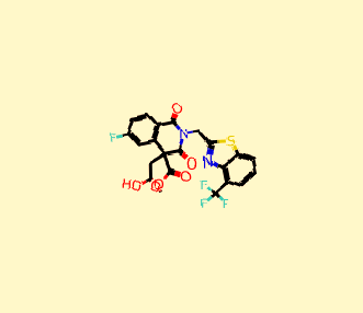 COC(=O)C1(CC(=O)O)C(=O)N(Cc2nc3c(C(F)(F)F)cccc3s2)C(=O)c2ccc(F)cc21